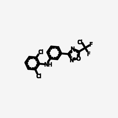 FC(F)(Cl)c1nc(-c2cccc(Nc3c(Cl)cccc3Cl)c2)no1